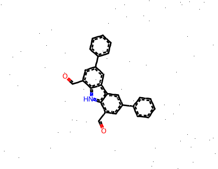 O=Cc1cc(-c2ccccc2)cc2c1[nH]c1c(C=O)cc(-c3ccccc3)cc12